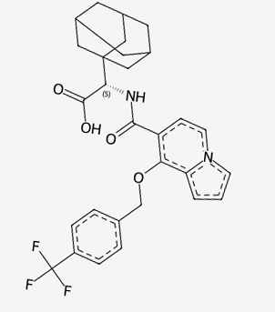 O=C(N[C@H](C(=O)O)C12CC3CC(CC(C3)C1)C2)c1ccn2cccc2c1OCc1ccc(C(F)(F)F)cc1